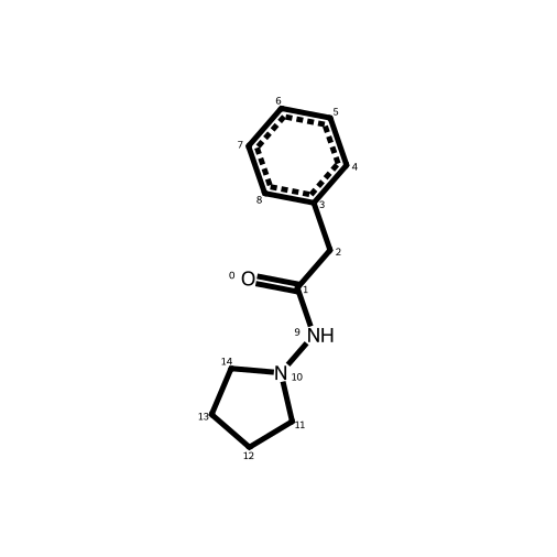 O=C(Cc1ccccc1)NN1CCCC1